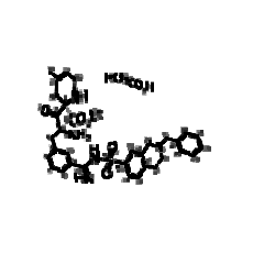 CCOC(=O)[C@]1(C(=O)C(N)Cc2cccc(C(=N)NS(=O)(=O)c3ccc4c(c3)CN(Cc3ccccc3)CC4)c2)CC(C)=CCN1.O=C(O)O